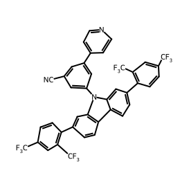 N#Cc1cc(-c2ccncc2)cc(-n2c3cc(-c4ccc(C(F)(F)F)cc4C(F)(F)F)ccc3c3ccc(-c4ccc(C(F)(F)F)cc4C(F)(F)F)cc32)c1